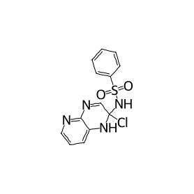 O=S(=O)(NC1(Cl)C=Nc2ncccc2N1)c1ccccc1